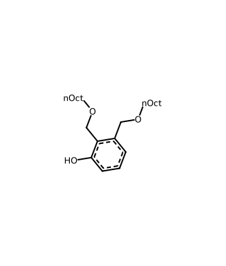 CCCCCCCCOCc1cccc(O)c1COCCCCCCCC